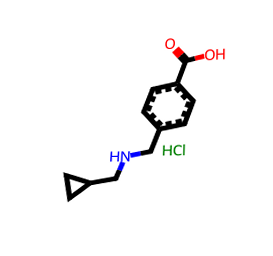 Cl.O=C(O)c1ccc(CNCC2CC2)cc1